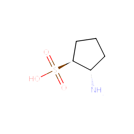 N[C@H]1CCC[C@@H]1S(=O)(=O)O